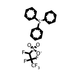 O=S(=O)([O-])C(F)C(F)(F)C(F)(F)F.c1ccc([S+](c2ccccc2)c2ccccc2)cc1